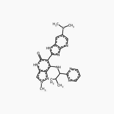 CC(C)C(Nc1c(-c2nc3ncc(N(C)C)cc3[nH]2)c(=O)[nH]c2cn(C)nc12)c1ncccn1